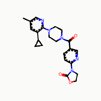 Cc1cnc(N2CCN(C(=O)c3ccc(N4CCOC4=O)nc3)CC2)c(C2CC2)c1